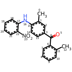 Cc1cc(C(=O)c2ccccc2C)ccc1Nc1ccccc1[N+](=O)[O-]